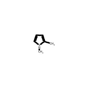 CC1=CC=C[SH]1C